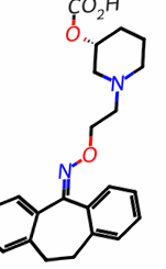 O=C(O)O[C@@H]1CCCN(CCON=C2c3ccccc3CCc3ccccc32)C1